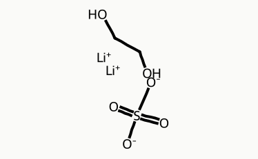 O=S(=O)([O-])[O-].OCCO.[Li+].[Li+]